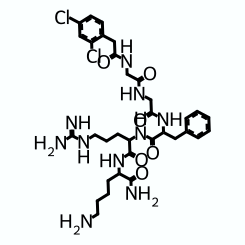 N=C(N)NCCCC(NC(=O)C(Cc1ccccc1)NC(=O)CNC(=O)CNC(=O)Cc1ccc(Cl)cc1Cl)C(=O)NC(CCCCN)C(N)=O